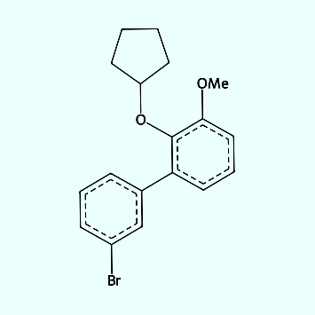 COc1cccc(-c2cccc(Br)c2)c1OC1CCCC1